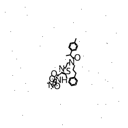 Cc1ccc(C(C)C(=O)N(CCCc2ccccc2)Cc2nc(C(=O)NS(=O)(=O)N(C)C)c(C)s2)cc1